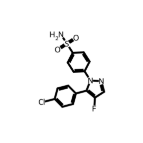 NS(=O)(=O)c1ccc(-n2ncc(F)c2-c2ccc(Cl)cc2)cc1